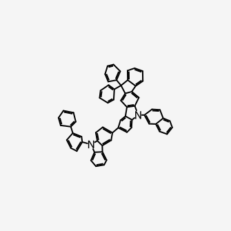 c1ccc(-c2cccc(-n3c4ccccc4c4cc(-c5ccc6c(c5)c5cc7c(cc5n6-c5ccc6ccccc6c5)-c5ccccc5C7(c5ccccc5)c5ccccc5)ccc43)c2)cc1